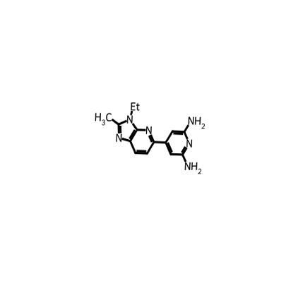 CCn1c(C)nc2ccc(-c3cc(N)nc(N)c3)nc21